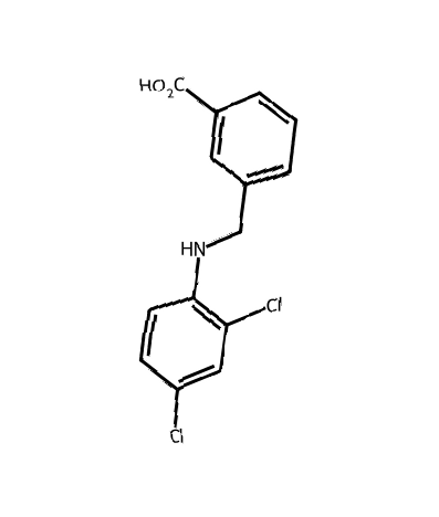 O=C(O)c1cccc(CNc2ccc(Cl)cc2Cl)c1